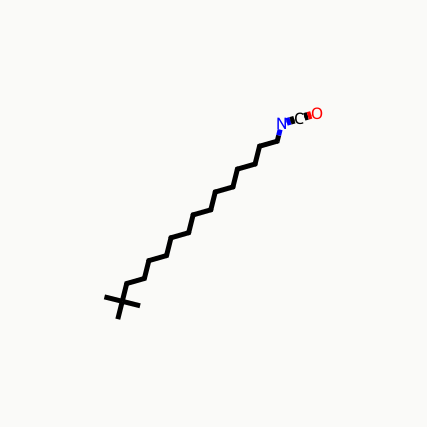 CC(C)(C)CCCCCCCCCCCCCCN=C=O